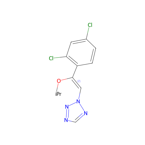 CC(C)O/C(=C\n1ncnn1)c1ccc(Cl)cc1Cl